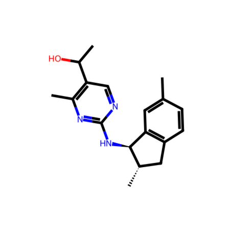 Cc1ccc2c(c1)[C@H](Nc1ncc(C(C)O)c(C)n1)[C@@H](C)C2